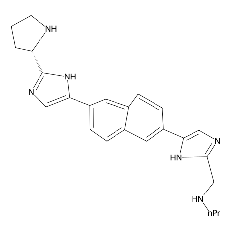 CCCNCc1ncc(-c2ccc3cc(-c4cnc([C@@H]5CCCN5)[nH]4)ccc3c2)[nH]1